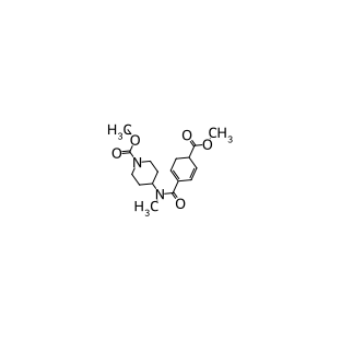 COC(=O)C1C=CC(C(=O)N(C)C2CCN(C(=O)OC)CC2)=CC1